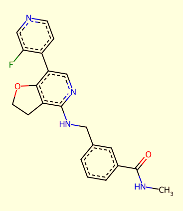 CNC(=O)c1cccc(CNc2ncc(-c3ccncc3F)c3c2CCO3)c1